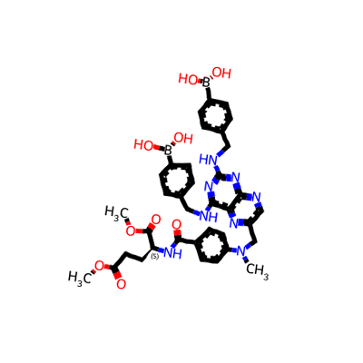 COC(=O)CC[C@H](NC(=O)c1ccc(N(C)Cc2cnc3nc(NCc4ccc(B(O)O)cc4)nc(NCc4ccc(B(O)O)cc4)c3n2)cc1)C(=O)OC